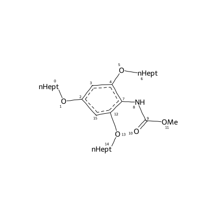 CCCCCCCOc1cc(OCCCCCCC)c(NC(=O)OC)c(OCCCCCCC)c1